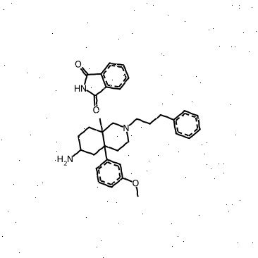 COc1cccc(C23CCN(CCCc4ccccc4)CC2(C)CCC(N)C3)c1.O=C1NC(=O)c2ccccc21